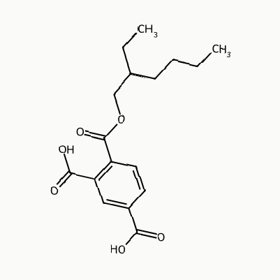 CCCCC(CC)COC(=O)c1ccc(C(=O)O)cc1C(=O)O